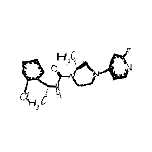 C[C@@H]1CN(c2ccnc(F)c2)CCN1C(=O)N[C@H](C)c1ccccc1Cl